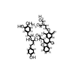 CC(CCc1ccc(O)cc1)NCCc1ccc(O)c(O)c1.CCCCc1oc2ccccc2c1C(=O)c1cc(I)c(OCCN(CC)CC)c(I)c1